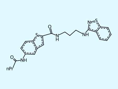 CCCC(=O)Nc1ccc2sc(C(=O)NCCCNc3nsc4ccccc34)cc2c1